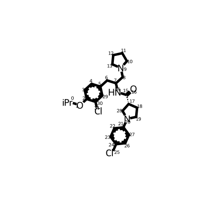 CC(C)Oc1ccc(CC(CN2CCCC2)NC(=O)[C@@H]2CCN(c3ccc(Cl)cc3)C2)cc1Cl